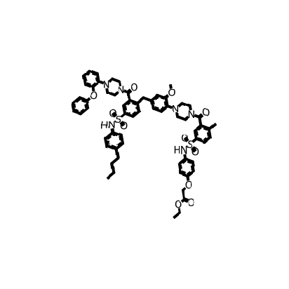 CCCCc1ccc(NS(=O)(=O)c2ccc(Cc3ccc(N4CCN(C(=O)c5cc(S(=O)(=O)Nc6ccc(OCC(=O)OCC)cc6)ccc5C)CC4)c(OC)c3)c(C(=O)N3CCN(c4ccccc4Oc4ccccc4)CC3)c2)cc1